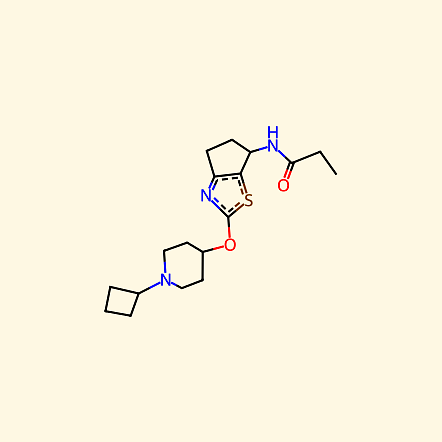 CCC(=O)NC1CCc2nc(OC3CCN(C4CCC4)CC3)sc21